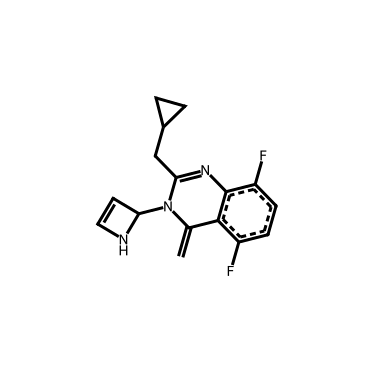 C=C1c2c(F)ccc(F)c2N=C(CC2CC2)N1C1C=CN1